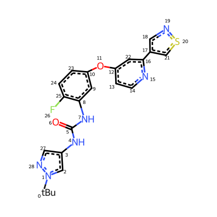 CC(C)(C)n1cc(NC(=O)Nc2cc(Oc3ccnc(-c4cnsc4)c3)ccc2F)cn1